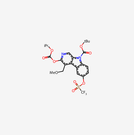 COCc1c(OC(=O)OC(C)C)ncc2c1c1cc(OS(=O)(=O)C(F)(F)F)ccc1n2C(=O)OC(C)(C)C